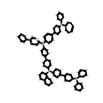 C1=CCC=C(N(c2ccccc2)c2ccc(-c3ccc(N(c4ccc(-c5ccccc5)cc4)c4ccc(-c5ccc(N(c6ccc(-c7ccc(N(c8ccccc8)c8ccccc8)cc7)cc6)c6cccc7ccccc67)cc5)cc4)cc3)cc2)C=C1